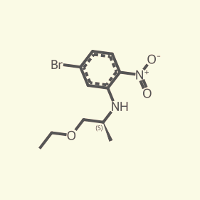 CCOC[C@H](C)Nc1cc(Br)ccc1[N+](=O)[O-]